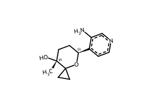 C[C@@]1(O)CC[C@@H](c2ccncc2N)OC12CC2